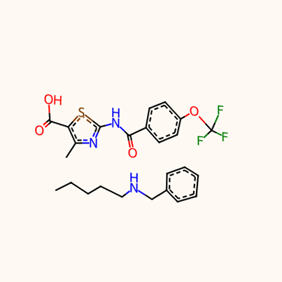 CCCCCNCc1ccccc1.Cc1nc(NC(=O)c2ccc(OC(F)(F)F)cc2)sc1C(=O)O